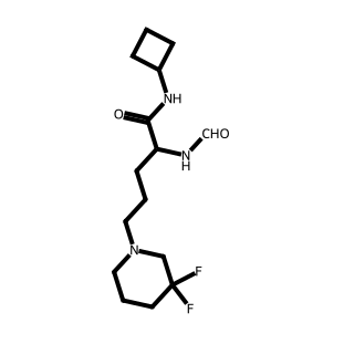 O=CNC(CCCN1CCCC(F)(F)C1)C(=O)NC1CCC1